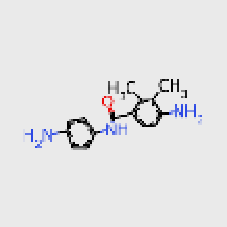 Cc1c(N)ccc(C(=O)Nc2ccc(N)cc2)c1C